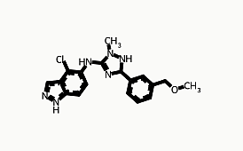 COCc1cccc(C2N=C(Nc3ccc4[nH]ncc4c3Cl)N(C)N2)c1